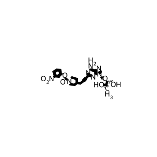 C[C@@H](O)[C@@H](CO)OCn1cnc2c(N)nc(C#CCC3CCN(C(=O)Oc4cccc([N+](=O)[O-])c4)CC3)nc21